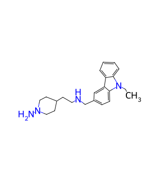 CCn1c2ccccc2c2cc(CNCCC3CCN(N)CC3)ccc21